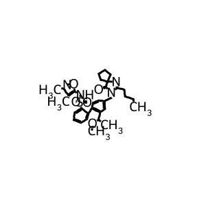 CCCCC1=NC2(CCCC2)C(=O)N1Cc1ccc(-c2ccccc2S(=O)(=O)Nc2onc(C)c2C)c(C(C)OC)c1